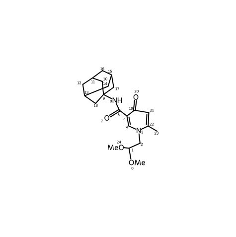 COC(Cn1cc(C(=O)NC23CC4CC(CC(C4)C2)C3)c(=O)cc1C)OC